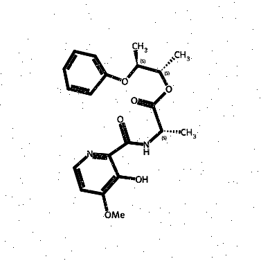 COc1ccnc(C(=O)N[C@@H](C)C(=O)O[C@@H](C)[C@H](C)Oc2ccccc2)c1O